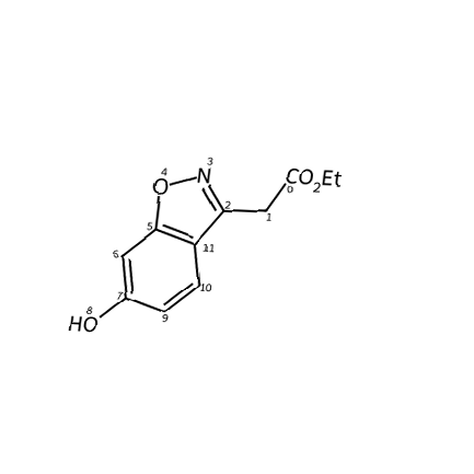 CCOC(=O)Cc1noc2cc(O)ccc12